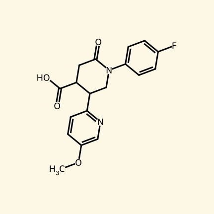 COc1ccc(C2CN(c3ccc(F)cc3)C(=O)CC2C(=O)O)nc1